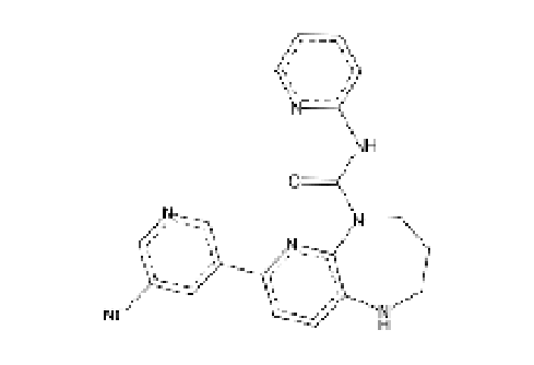 N#Cc1cncc(-c2ccc3c(n2)N(C(=O)Nc2ccccn2)CCCN3)c1